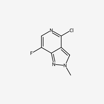 Cn1cc2c(Cl)ncc(F)c2n1